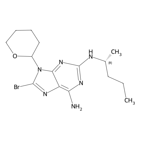 CCC[C@@H](C)Nc1nc(N)c2nc(Br)n(C3CCCCO3)c2n1